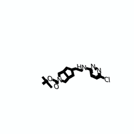 CC(C)(C)OC(=O)N1CC2CC(CCNc3ccc(Cl)nn3)CC2C1